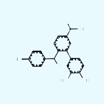 Cc1cc(-c2cc(C(C)C)ccc2C(C)c2ccc(O)cc2)ccc1O